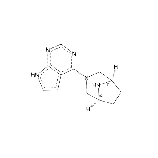 c1nc(N2C[C@H]3CC[C@@H](C2)N3)c2cc[nH]c2n1